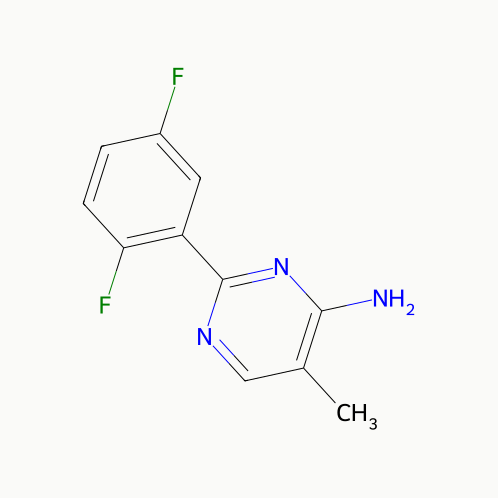 Cc1cnc(-c2cc(F)ccc2F)nc1N